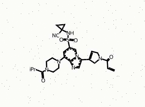 C=CC(=O)N1CC=C(c2cnc3c(N4CCN(C(=O)C(C)C)CC4)cc(S(=O)(=O)NC4(C#N)CC4)cn23)C1